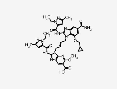 CCn1nc(C)cc1C(=O)Nc1nc2cc(C(=O)O)c(OC)nc2n1C/C=C/Cn1c(NC(=O)c2cc(C)nn2CC)nc2cc(C(N)=O)cc(OCC3CC3)c21